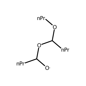 CCCOC(CCC)OC([O])CCC